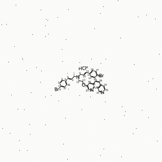 Brc1ccc(C=CCN(CC=Cc2ccc(Br)cc2)CCOc2cncc(C=Cc3ccncc3)c2)cc1.Cl